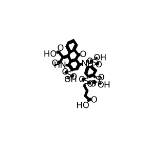 O=C(O)CCCS(=O)(=O)c1cc(Nc2cc(S(=O)(=O)O)c3[nH]c(=O)c(C(=O)O)c4c3c2C(=O)c2ccccc2-4)c(S(=O)(=O)O)cc1S(=O)(=O)O